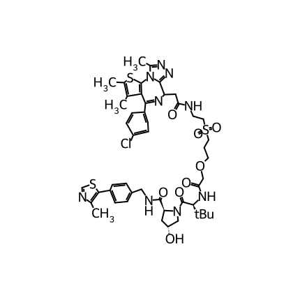 Cc1ncsc1-c1ccc(CNC(=O)[C@@H]2C[C@@H](O)CN2C(=O)[C@@H](NC(=O)COCCCS(=O)(=O)CCNC(=O)CC2N=C(c3ccc(Cl)cc3)c3c(sc(C)c3C)-n3c(C)nnc32)C(C)(C)C)cc1